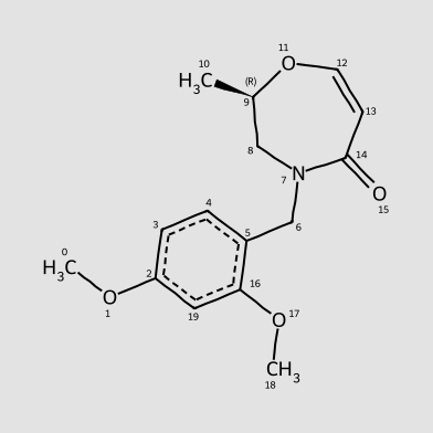 COc1ccc(CN2C[C@@H](C)OC=CC2=O)c(OC)c1